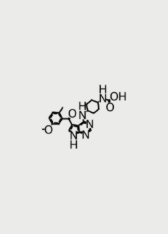 COc1ccc(C)c(C(=O)c2c[nH]c3ncnc(N[C@H]4CC[C@@H](NC(=O)O)CC4)c23)c1